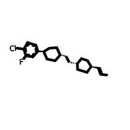 C/C=C/[C@H]1CC[C@H](CC[C@H]2CC[C@H](c3ccc(Cl)c(F)c3)CC2)CC1